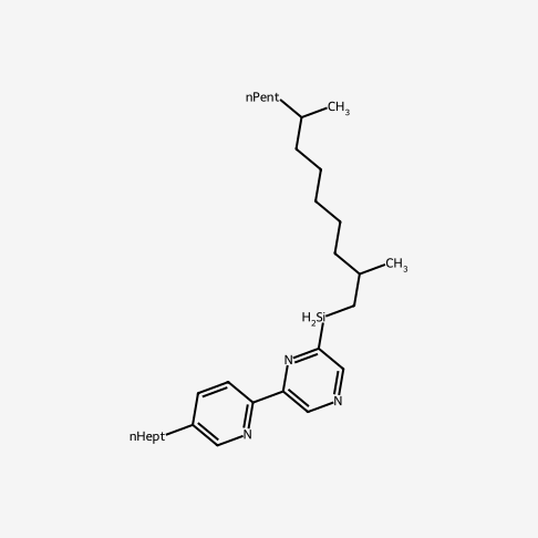 CCCCCCCc1ccc(-c2cncc([SiH2]CC(C)CCCCCC(C)CCCCC)n2)nc1